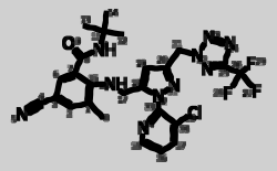 Cc1cc(C#N)cc(C(=O)NC(C)(C)C)c1NCc1cc(Cn2nnc(C(F)(F)F)n2)nn1-c1ncccc1Cl